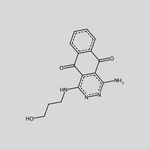 Nc1nnc(NCCCO)c2c1C(=O)c1ccccc1C2=O